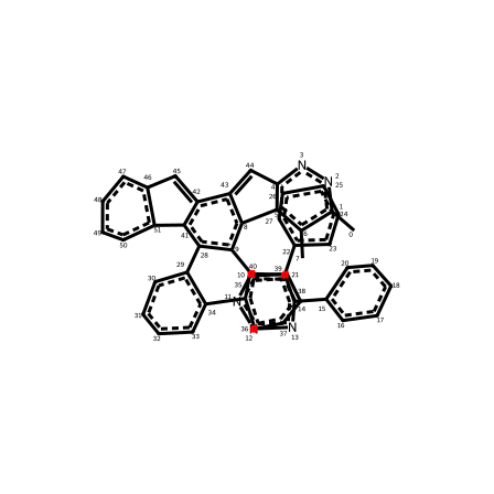 Cc1nnc2c(c1C)-c1c(-c3nnnc(-c4ccccc4)c3-c3ccccc3)c(-c3ccccc3-c3ccccc3)c3c(c1=C2)=Cc1ccccc1-3